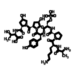 C[C@H](N)C(=O)N[C@@H](CCCCN)C(=O)N1CCC[C@H]1C(=O)N[C@@H](COP(=O)(O)O)C(=O)N[C@@H](Cc1ccc(O)cc1)C(=O)N1C[C@H](O)C[C@H]1C(=O)N1C[C@H](O)C[C@H]1C(=O)N[C@H](C(=O)O)[C@@H](C)O